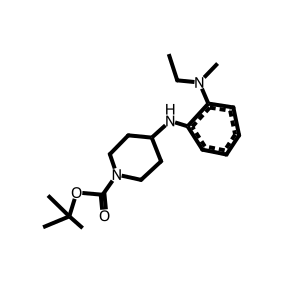 CCN(C)c1ccccc1NC1CCN(C(=O)OC(C)(C)C)CC1